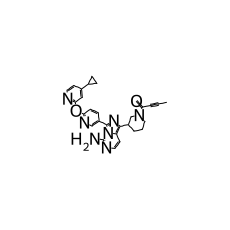 CC#CC(=O)N1CCCC(c2nc(-c3ccc(Oc4cc(C5CC5)ccn4)nc3)n3c(N)nccc23)C1